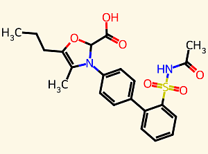 CCCC1=C(C)N(c2ccc(-c3ccccc3S(=O)(=O)NC(C)=O)cc2)C(C(=O)O)O1